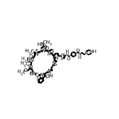 CNC(=O)C[C@@H]1NC(=O)c2csc(n2)-c2ccc(-c3nc(NC(=O)[C@H]4CC[C@H](C(=O)NCCN5CCNCC5)CC4)cs3)nc2-c2csc(n2)-c2csc(n2)[C@H]([C@@H](O)c2ccccc2)NC(=O)CNC(=O)c2nc(sc2COC)[C@H](C(C)C)NC(=O)c2nc1sc2C